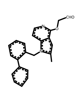 Cc1cc2c(OCC=O)nccc2n1Cc1ccccc1-c1ccccc1